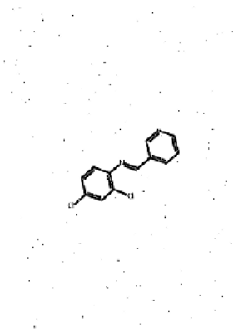 Clc1ccc(N=Cc2ccccc2)c(Cl)c1